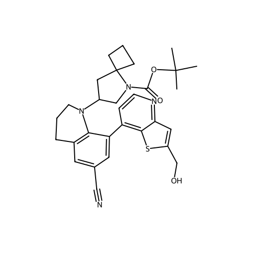 CC(C)(C)OC(=O)N1CC(N2CCCc3cc(C#N)cc(-c4ccnc5cc(CO)sc45)c32)CC12CCC2